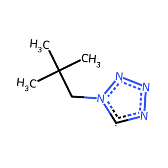 CC(C)(C)Cn1[c]nnn1